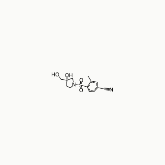 Cc1cc(C#N)ccc1S(=O)(=O)N1CC[C@](O)(CO)C1